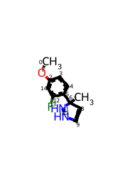 COc1ccc(C2(C)C=CNN2)c(F)c1